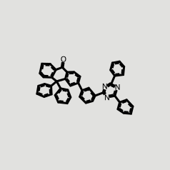 O=C1c2ccccc2C(c2ccccc2)(c2ccccc2)c2cc(-c3cccc(-c4nc(-c5ccccc5)nc(-c5ccccc5)n4)c3)ccc21